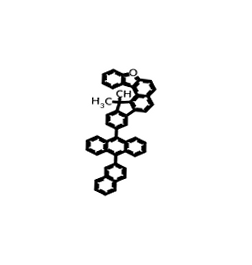 CC1(C)c2ccc(-c3c4ccccc4c(-c4ccc5ccccc5c4)c4ccccc34)cc2-c2ccc3ccc4oc5ccccc5c4c3c21